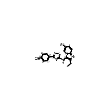 CCc1nc2ccc(Br)cn2c1Nc1nc(-c2ccc(Cl)cc2)ns1